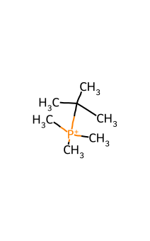 CC(C)(C)[P+](C)(C)C